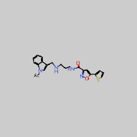 CC(=O)n1cc(CNCCCNC(=O)c2cc(-c3cccs3)on2)c2ccccc21